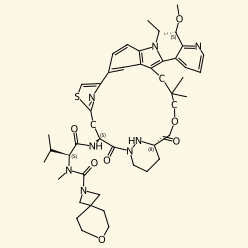 CCn1c(-c2cccnc2[C@H](C)OC)c2c3cc(ccc31)-c1csc(n1)C[C@H](NC(=O)[C@H](C(C)C)N(C)C(=O)N1CC3(CCOCC3)C1)C(=O)N1CCC[C@](C=O)(COCC(C)(C)C2)N1